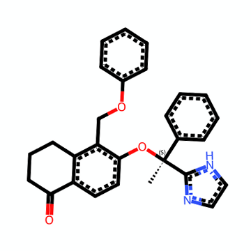 C[C@](Oc1ccc2c(c1COc1ccccc1)CCCC2=O)(c1ccccc1)c1ncc[nH]1